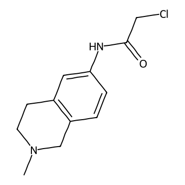 CN1CCc2cc(NC(=O)CCl)ccc2C1